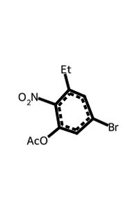 CCc1cc(Br)cc(OC(C)=O)c1[N+](=O)[O-]